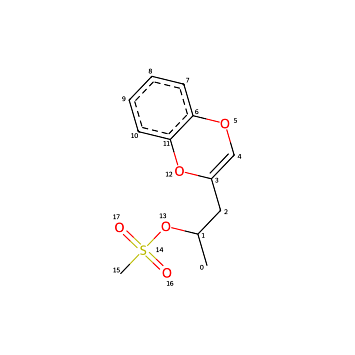 CC(CC1=COc2ccccc2O1)OS(C)(=O)=O